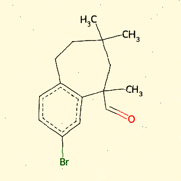 CC1(C)CCc2ccc(Br)cc2C(C)(C=O)C1